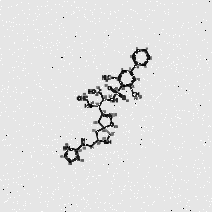 Cc1cc(-c2ccccc2)cc(C)c1S(=O)(=O)NC(C(=O)O)C(NC=O)C1=NO[C@]2(CNC(CNc3ncc[nH]3)C2)C1